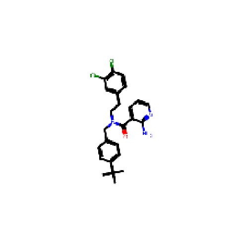 CC(C)(C)c1ccc(CN(CCc2ccc(Cl)c(Cl)c2)C(=O)c2cccnc2N)cc1